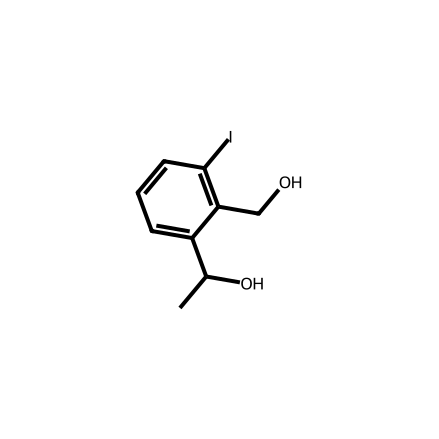 CC(O)c1cccc(I)c1CO